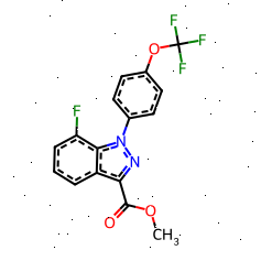 COC(=O)c1nn(-c2ccc(OC(F)(F)F)cc2)c2c(F)cccc12